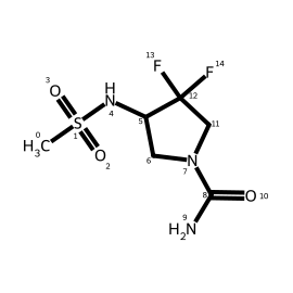 CS(=O)(=O)NC1CN(C(N)=O)CC1(F)F